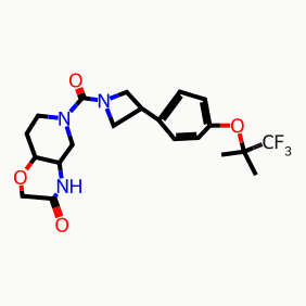 CC(C)(Oc1ccc(C2CN(C(=O)N3CCC4OCC(=O)NC4C3)C2)cc1)C(F)(F)F